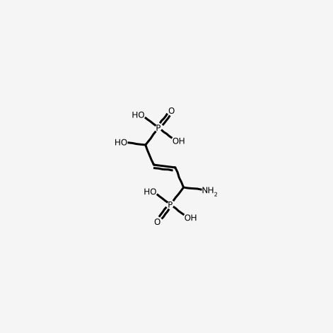 NC(C=CC(O)P(=O)(O)O)P(=O)(O)O